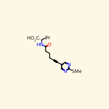 CSc1ncc(C#CCCCC(=O)N[C@H](C(=O)O)C(C)C)cn1